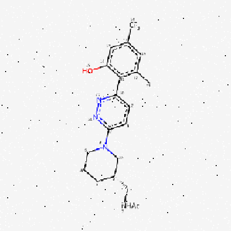 CC(=O)NC[C@@H]1CCCN(c2ccc(-c3c(C)cc(C(F)(F)F)cc3O)nn2)C1